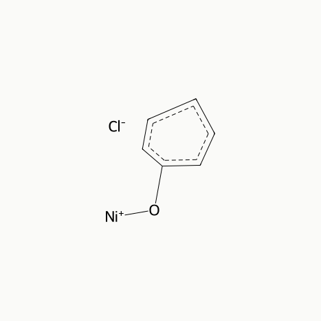 [Cl-].[Ni+][O]c1ccccc1